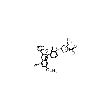 COc1ccc(CN(c2nccs2)S(=O)(=O)c2cccc(O[C@H]3CCN(C(=O)O)[C@H](C)C3)c2Cl)c(OC)c1